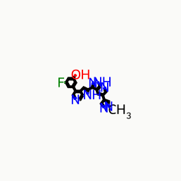 Cn1cc(-c2cnc3[nH]nc(-c4cc5c(-c6cc(O)cc(F)c6)cncc5[nH]4)c3c2)cn1